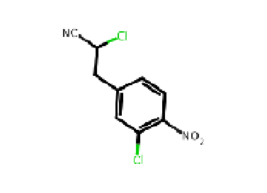 N#CC(Cl)Cc1ccc([N+](=O)[O-])c(Cl)c1